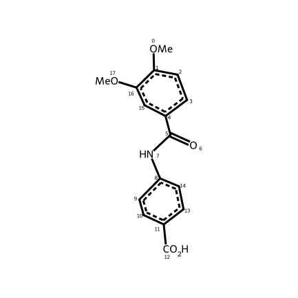 COc1ccc(C(=O)Nc2ccc(C(=O)O)cc2)cc1OC